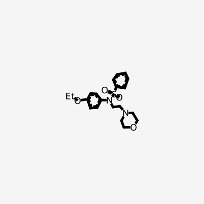 CCOc1ccc(N(CCN2CCOCC2)S(=O)(=O)c2ccccc2)cc1